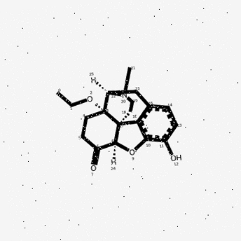 CCO[C@@]12CCC(=O)[C@@H]3Oc4c(O)ccc5c4[C@@]31CCN(C)[C@@H]2C5